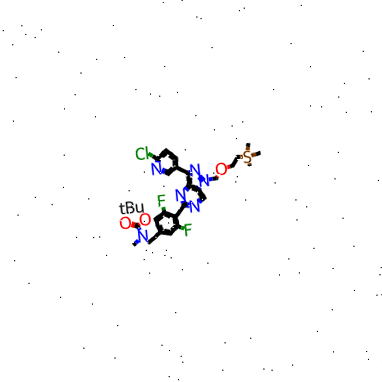 CN(Cc1cc(F)c(-c2ncc3c(n2)c(-c2ccc(Cl)nc2)nn3COCCS(C)(C)C)c(F)c1)C(=O)OC(C)(C)C